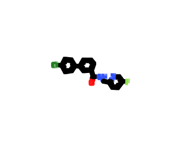 O=C(NCc1ccc(F)cn1)c1cccc(-c2ccc(Cl)cc2)c1